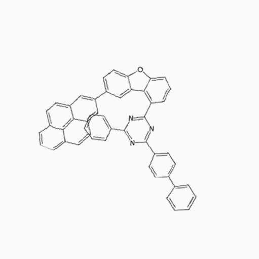 c1ccc(-c2ccc(-c3nc(-c4ccccc4)nc(-c4cccc5oc6ccc(-c7cc8ccc9cccc%10ccc(c7)c8c9%10)cc6c45)n3)cc2)cc1